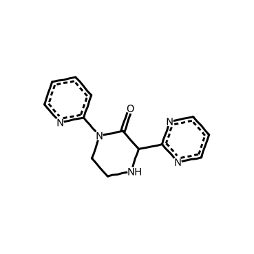 O=C1C(c2ncccn2)NCCN1c1ccccn1